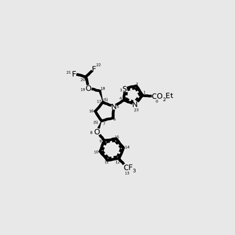 CCOC(=O)c1csc(N2C[C@@H](Oc3ccc(C(F)(F)F)cc3)C[C@H]2COC(F)F)n1